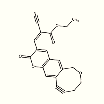 CCOC(=O)C(C#N)=Cc1cc2cc3c(cc2oc1=O)C#CCCOC3